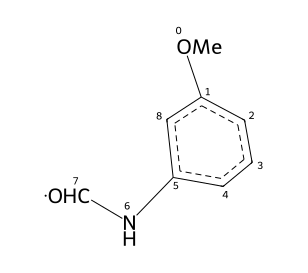 COc1cccc(N[C]=O)c1